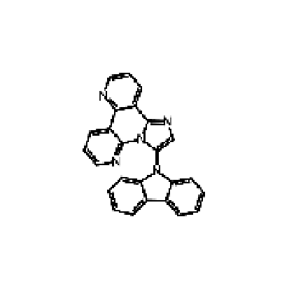 c1ccc2c(c1)c1ccccc1n2-c1cnc2c3cccnc3c3cccnc3n12